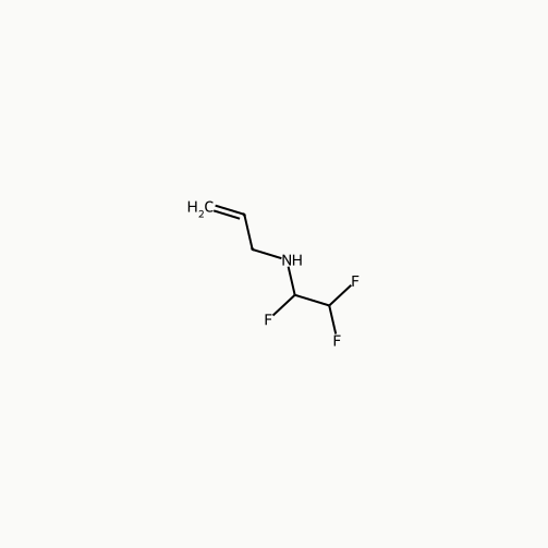 C=CCNC(F)C(F)F